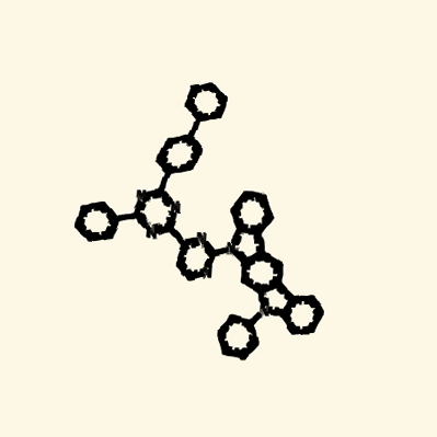 c1ccc(-c2ccc(-c3nc(-c4ccccc4)nc(-c4ccnc(-n5c6ccccc6c6cc7c8ccccc8n(-c8ccccc8)c7cc65)n4)n3)cc2)cc1